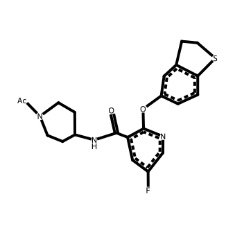 CC(=O)N1CCC(NC(=O)c2cc(F)cnc2Oc2ccc3c(c2)CCS3)CC1